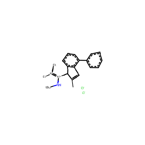 CC[Si](CC)=[Ti+2]([NH]C(C)(C)C)[CH]1C(C)=Cc2c(-c3ccccc3)cccc21.[Cl-].[Cl-]